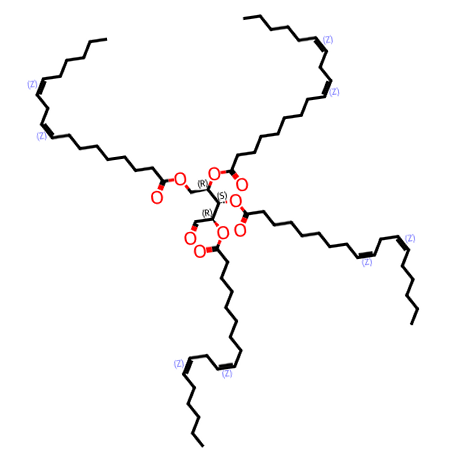 CCCCC/C=C\C/C=C\CCCCCCCC(=O)OC[C@@H](OC(=O)CCCCCCC/C=C\C/C=C\CCCCC)[C@H](OC(=O)CCCCCCC/C=C\C/C=C\CCCCC)[C@H](C=O)OC(=O)CCCCCCC/C=C\C/C=C\CCCCC